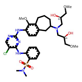 COC[C@H](O)CN(C[C@@H](O)COC)C1CCCc2c(ccc(Nc3ncc(Cl)c(Nc4ccccc4S(=O)(=O)N(C)C)n3)c2OC)C1